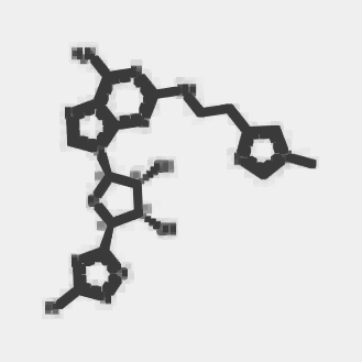 CCc1noc([C@H]2O[C@@H](n3cnc4c(N)nc(NCCc5cn(C)cn5)nc43)[C@H](O)[C@@H]2O)n1